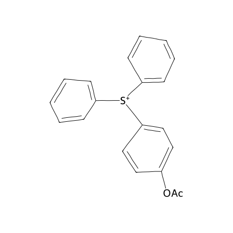 CC(=O)Oc1ccc([S+](c2ccccc2)c2ccccc2)cc1